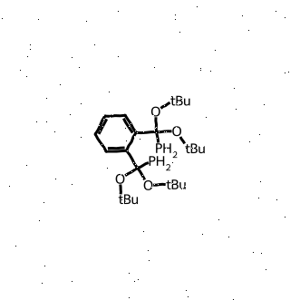 CC(C)(C)OC(P)(OC(C)(C)C)c1ccccc1C(P)(OC(C)(C)C)OC(C)(C)C